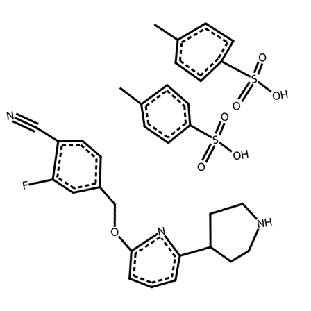 Cc1ccc(S(=O)(=O)O)cc1.Cc1ccc(S(=O)(=O)O)cc1.N#Cc1ccc(COc2cccc(C3CCNCC3)n2)cc1F